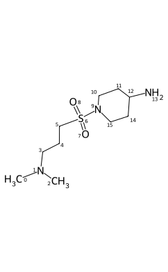 CN(C)CCCS(=O)(=O)N1CCC(N)CC1